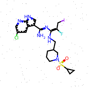 N/C(=N\C(NCC1CCCN(S(=O)(=O)C2CC2)C1)=C(\F)CI)c1c[nH]c2ncc(Cl)cc12